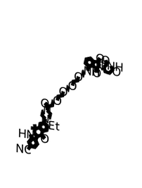 CCc1cc2c(cc1N1CCN(C(=O)CCOCCOCCOCCOCCNc3cccc4c3C(=O)N(C3CCC(=O)NC3=O)C4=O)CC1)C(C)(C)c1[nH]c3cc(C#N)ccc3c1C2=O